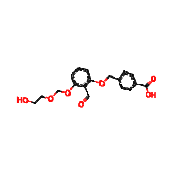 O=Cc1c(OCOCCO)cccc1OCc1ccc(C(=O)O)cc1